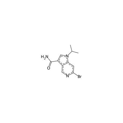 CC(C)n1cc(C(N)=O)c2cnc(Br)cc21